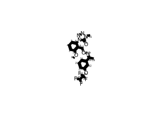 COc1cccc(-n2nnn(C)c2=O)c1CON=C(C)c1cccc(OC(F)(F)C(F)F)c1